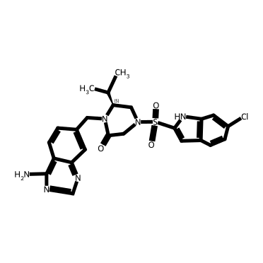 CC(C)[C@H]1CN(S(=O)(=O)c2cc3ccc(Cl)cc3[nH]2)CC(=O)N1Cc1ccc2c(N)ncnc2c1